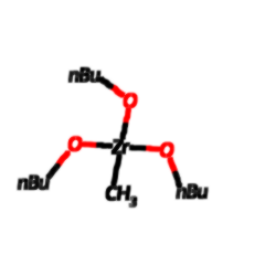 CCCC[O][Zr]([CH3])([O]CCCC)[O]CCCC